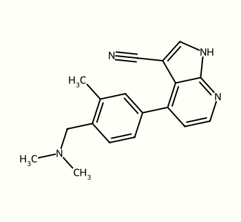 Cc1cc(-c2ccnc3[nH]cc(C#N)c23)ccc1CN(C)C